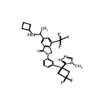 CC(NC1CCC1)c1cc2c(c(C(F)(F)F)c1)CN(c1cccc(C3(c4nncn4C)CC(F)(F)C3)c1)C2=O